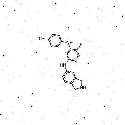 Fc1cnc(Nc2ccc3c(c2)CNN3)nc1Nc1ccc(Cl)nc1